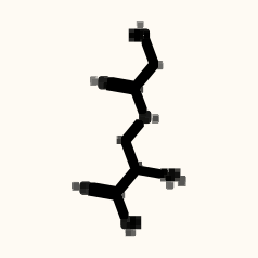 NC(COC(=O)CO)C(=O)O